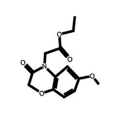 CCOC(=O)CN1C(=O)COc2ccc(OC)cc21